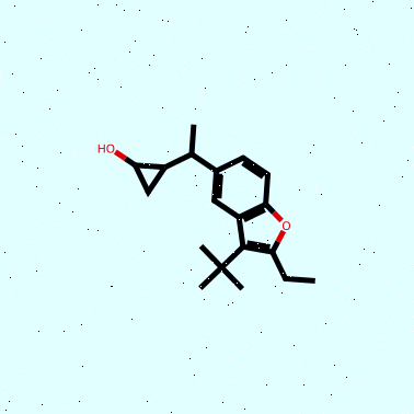 CCc1oc2ccc(C(C)C3CC3O)cc2c1C(C)(C)C